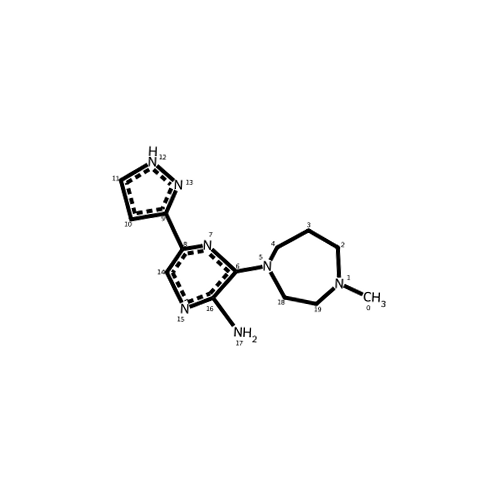 CN1CCCN(c2nc(-c3cc[nH]n3)cnc2N)CC1